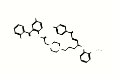 COc1ccccc1OC(C=CC(=O)c1ccc(F)cc1)CCCN1CCN(CC(=O)Nc2ccc(Cl)cc2C(=O)c2ccccc2Cl)CC1